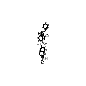 O=CBN1CCc2cc(NC(=O)[C@@H]3CC[C@@H]4CN3C(=O)N4OCc3ccccc3)ccc2C1